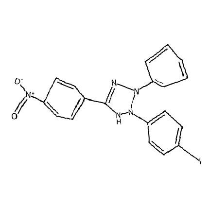 O=[N+]([O-])c1ccc(C2=NN(c3ccccc3)N(c3ccc(I)cc3)N2)cc1